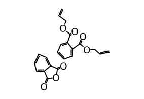 C=CCOC(=O)c1ccccc1C(=O)OCC=C.O=C1OC(=O)c2ccccc21